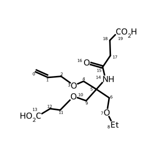 C=CCOCC(COCC)(COCCC(=O)O)NC(=O)CCC(=O)O